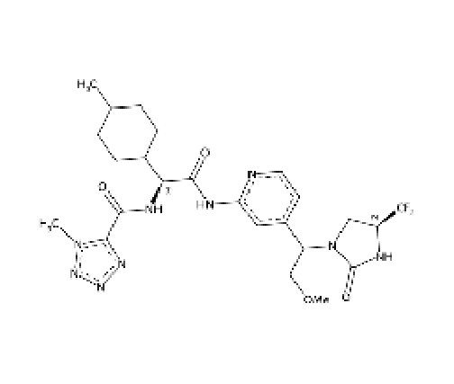 COCC(c1ccnc(NC(=O)[C@@H](NC(=O)c2nnnn2C)C2CCC(C)CC2)c1)N1C[C@@H](C(F)(F)F)NC1=O